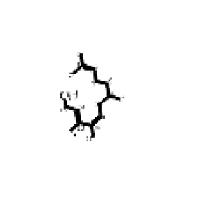 CC(C)=CCCC(C)CC=C(C)C(C)=CCO